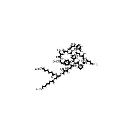 CCCCCCCCCCCCCCCC(=O)OCC(CSCC(N)C(=O)NCC(=O)N[C@@H](CC(=O)O)C(=O)N1CCC[C@H]1C(=O)N[C@@H](CCCCN)C(=O)N[C@@H](Cc1cnc[nH]1)C(=O)N1CCC[C@H]1C(=O)N[C@@H](CCCCN)C(=O)NC(CO)C(=O)N[C@H](C=O)Cc1ccccc1)OC(=O)CCCCCCCCCCCCCCC